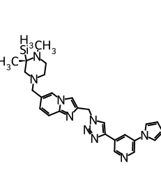 CN1CCN(Cc2ccc3nc(Cn4cc(-c5cncc(-n6cccc6)c5)nn4)cn3c2)C[C@]1(C)[SiH3]